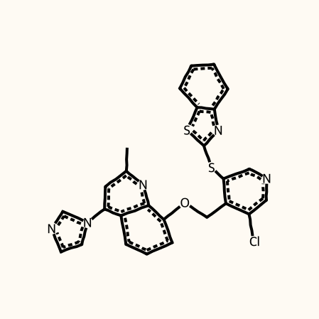 Cc1cc(-n2ccnc2)c2cccc(OCc3c(Cl)cncc3Sc3nc4ccccc4s3)c2n1